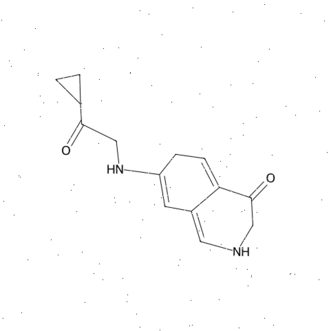 O=C1CNC=C2C=C(NCC(=O)C3CC3)CC=C12